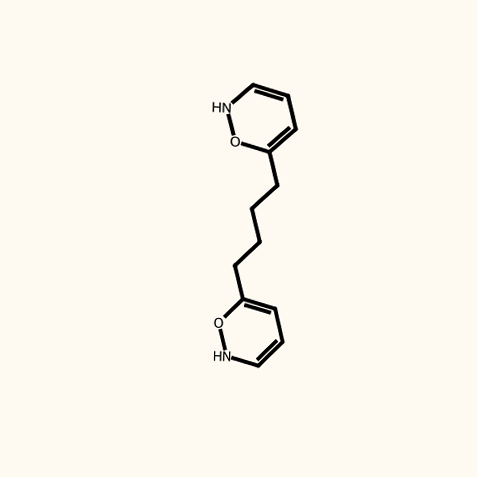 C1=CNOC(CCCCC2=CC=CNO2)=C1